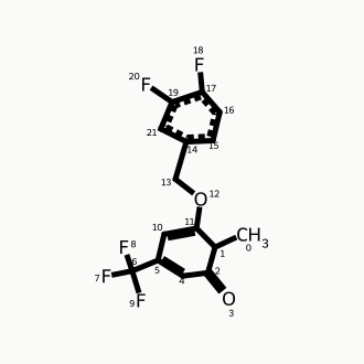 CC1C(=O)C=C(C(F)(F)F)C=C1OCc1ccc(F)c(F)c1